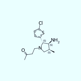 CC(=O)CCN1C[C@H](C)[C@H](N)[C@H]1c1ccc(Cl)s1